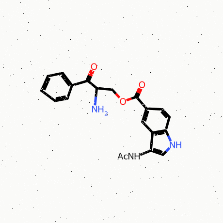 CC(=O)Nc1c[nH]c2ccc(C(=O)OCC(N)C(=O)c3ccccc3)cc12